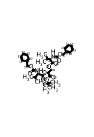 CC(C)[C@H](NC(=O)OCc1ccccc1)C(=O)OCC(OC(=O)[C@@H](NC(=O)OCc1ccccc1)C(C)C)C(=O)OC(C)(C)C